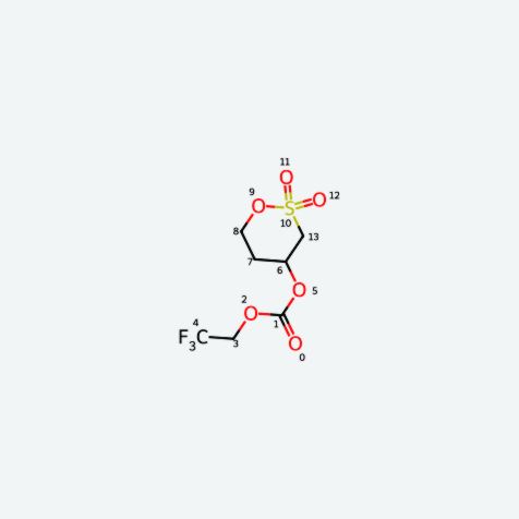 O=C(OCC(F)(F)F)OC1CCOS(=O)(=O)C1